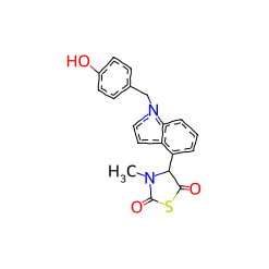 CN1C(=O)SC(=O)C1c1cccc2c1ccn2Cc1ccc(O)cc1